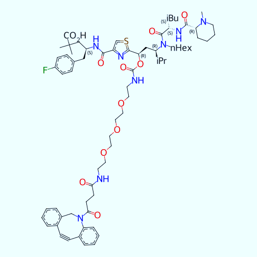 CCCCCCN(C(=O)[C@@H](NC(=O)[C@H]1CCCCN1C)[C@@H](C)CC)[C@H](C[C@@H](OC(=O)NCCOCCOCCOCCNC(=O)CCC(=O)N1Cc2ccccc2C#Cc2ccccc21)c1nc(C(=O)N[C@@H](Cc2ccc(F)cc2)CC(C)(C)C(=O)O)cs1)C(C)C